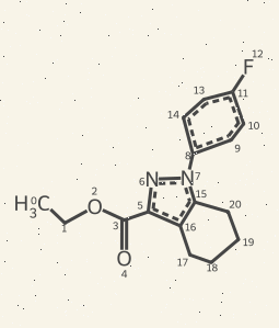 CCOC(=O)c1nn(-c2ccc(F)cc2)c2c1CCCC2